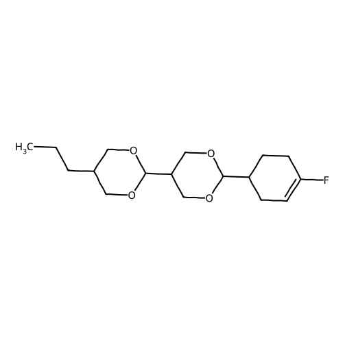 CCCC1COC(C2COC(C3CC=C(F)CC3)OC2)OC1